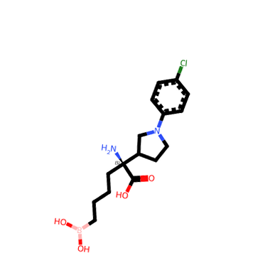 N[C@](CCCCB(O)O)(C(=O)O)C1CCN(c2ccc(Cl)cc2)C1